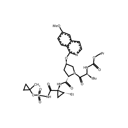 CC[C@@H]1C[C@]1(NC(=O)[C@@H]1C[C@@H](Oc2nccc3cc(OC)ccc23)CN1C(=O)[C@@H](NC(=O)OC(C)C)C(C)(C)C)C(=O)NS(=O)(=O)OC1(C)CC1